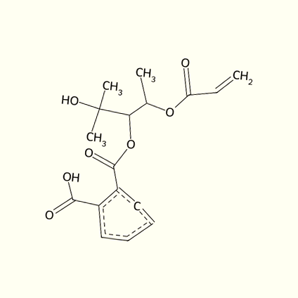 C=CC(=O)OC(C)C(OC(=O)c1ccccc1C(=O)O)C(C)(C)O